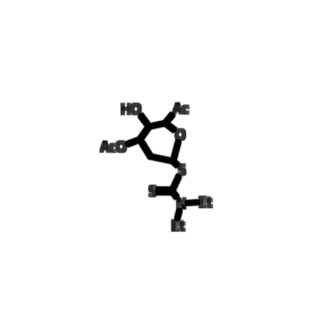 CCN(CC)C(=S)SC1CC(OC(C)=O)C(O)C(C(C)=O)O1